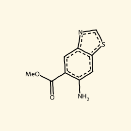 COC(=O)c1cc2ncsc2cc1N